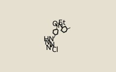 CCN(C(=O)c1ccc(CNc2ncnc(Cl)n2)cc1)c1cccc(C)c1